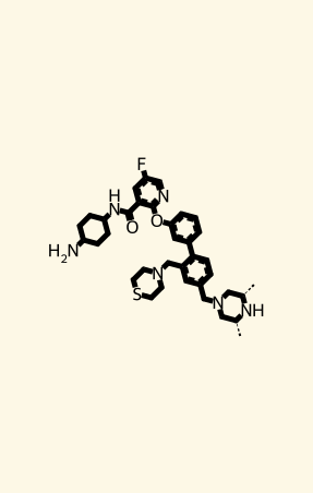 C[C@@H]1CN(Cc2ccc(-c3cccc(Oc4ncc(F)cc4C(=O)NC4CCC(N)CC4)c3)c(CN3CCSCC3)c2)C[C@H](C)N1